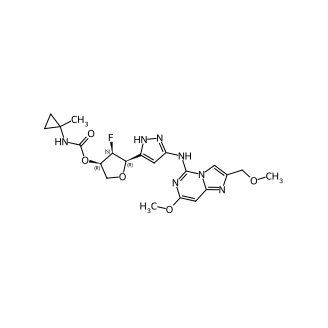 COCc1cn2c(Nc3cc([C@H]4OC[C@@H](OC(=O)NC5(C)CC5)[C@H]4F)[nH]n3)nc(OC)cc2n1